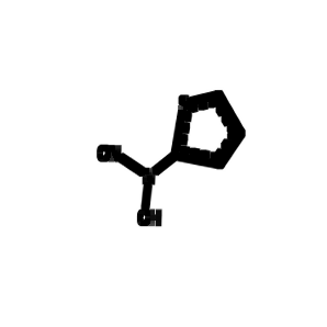 O=NN(O)c1cccs1